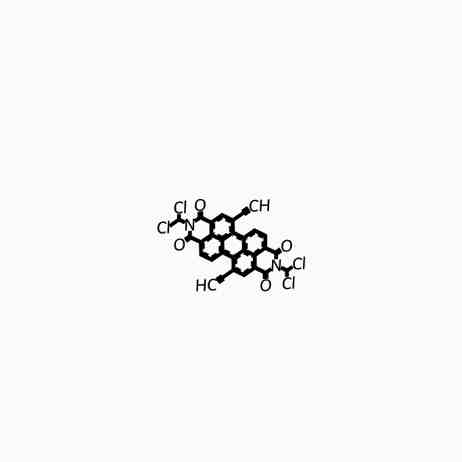 C#Cc1cc2c3c(ccc4c5c(C#C)cc6c7c(ccc(c1c34)c75)C(=O)N(C(Cl)Cl)C6=O)C(=O)N(C(Cl)Cl)C2=O